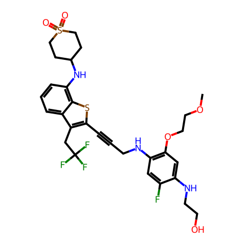 COCCOc1cc(NCCO)c(F)cc1NCC#Cc1sc2c(NC3CCS(=O)(=O)CC3)cccc2c1CC(F)(F)F